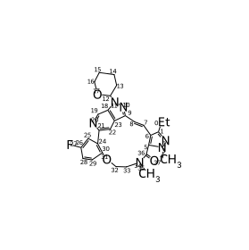 CCc1nn(C)c2c1/C=C/c1nn(C3CCCCO3)c3cnc(cc13)-c1cc(F)ccc1OCCN(C)C2=O